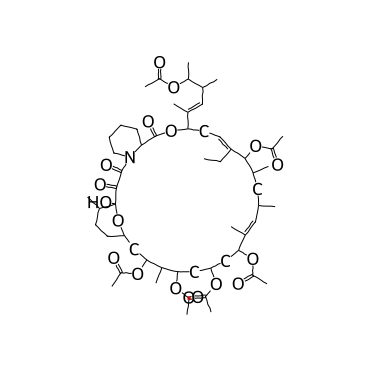 CC/C1=C\CC(/C(C)=C/C(C)C(C)OC(C)=O)OC(=O)C2CCCCN2C(=O)C(=O)C2(O)OC(CCC2C)CC(OC(C)=O)C(C)C(OC(C)=O)CC(OC(C)=O)CC(OC(C)=O)/C(C)=C/C(C)CC(C)C1OC(C)=O